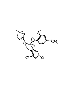 CN1CCN([C@@H]2Cc3c(Cl)cc(Cl)cc3[C@@H]2Oc2ccc(C#N)cc2F)CC1